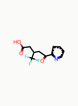 O=C(O)CC(CC(=O)c1ccccn1)C(F)(F)F